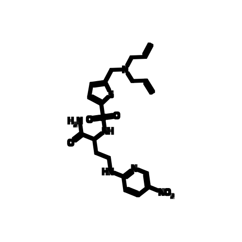 C=CCN(CC=C)Cc1ccc(S(=O)(=O)NC(CCNc2ccc([N+](=O)[O-])cn2)C(N)=O)s1